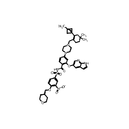 CC1(C)CCC(CN2CCN(c3ccc(C(=O)NS(=O)(=O)c4ccc(OCC5CCOCC5)c([N+](=O)[O-])c4)c(Oc4cnc5[nH]ccc5c4)c3)CC2)=C(C23CC(C)(C2)C3)C1